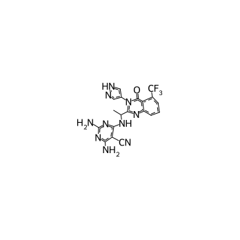 CC(Nc1nc(N)nc(N)c1C#N)c1nc2cccc(C(F)(F)F)c2c(=O)n1-c1cn[nH]c1